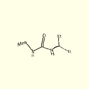 CCC(CC)NC(=O)NNC